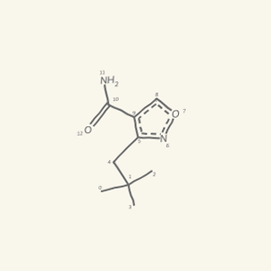 CC(C)(C)Cc1no[c]c1C(N)=O